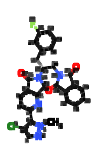 Cn1ncc(Cl)c1-c1ccc2c(n1)CN([C@H](Cc1cccc(F)c1)CN1C(=O)c3ccccc3C1=O)C2=O